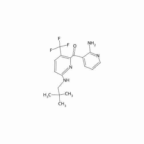 CC(C)(C)CNc1ccc(C(F)(F)F)c(C(=O)c2cccnc2N)n1